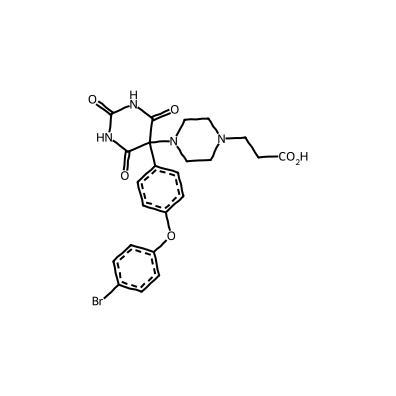 O=C(O)CCN1CCN(C2(c3ccc(Oc4ccc(Br)cc4)cc3)C(=O)NC(=O)NC2=O)CC1